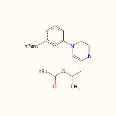 CCCCCc1cccc(N2C=C(CC(C)OC(=O)CCCC)N=CC2)c1